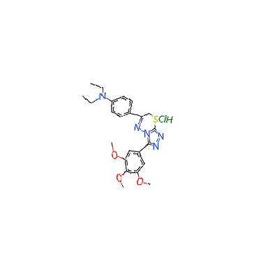 CCN(CC)c1ccc(C2=Nn3c(nnc3-c3cc(OC)c(OC)c(OC)c3)SC2)cc1.Cl